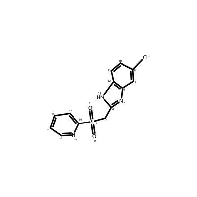 O=S(=O)(Cc1nc2cc(Cl)ccc2[nH]1)c1ccccn1